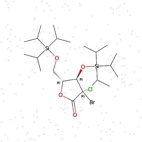 CC(C)[Si](OC[C@H]1OC(=O)[C@](Cl)(Br)[C@@H]1O[Si](C(C)C)(C(C)C)C(C)C)(C(C)C)C(C)C